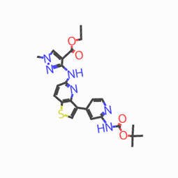 CCOC(=O)c1cn(C)nc1Nc1ccc2scc(-c3ccnc(NC(=O)OC(C)(C)C)c3)c2n1